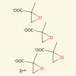 CC1(C(=O)[O-])CO1.CC1(C(=O)[O-])CO1.CC1(C(=O)[O-])CO1.CC1(C(=O)[O-])CO1.[Zr+4]